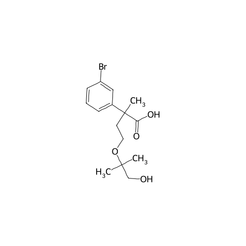 CC(C)(CO)OCCC(C)(C(=O)O)c1cccc(Br)c1